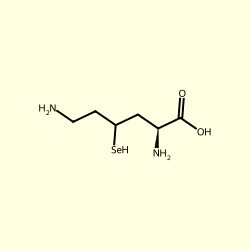 NCCC([SeH])C[C@H](N)C(=O)O